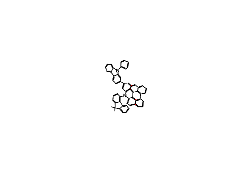 CC1(C)c2ccccc2-c2c(N(c3cccc(-c4ccc5c6ccccc6n(-c6ccccc6)c5c4)c3)c3ccccc3-c3cccc4cccc(-c5ccccc5)c34)cccc21